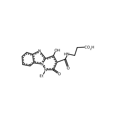 CCn1c(=O)c(C(=O)NCCC(=O)O)c(O)c2nc3ccccc3n21